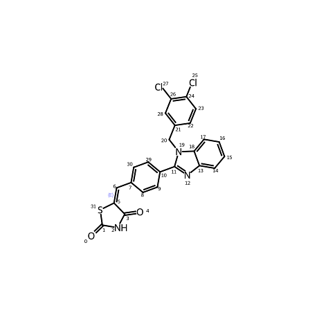 O=C1NC(=O)/C(=C\c2ccc(-c3nc4ccccc4n3Cc3ccc(Cl)c(Cl)c3)cc2)S1